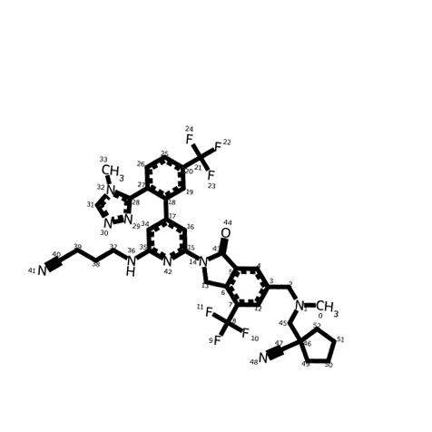 CN(Cc1cc2c(c(C(F)(F)F)c1)CN(c1cc(-c3cc(C(F)(F)F)ccc3-c3nncn3C)cc(NCCCC#N)n1)C2=O)CC1(C#N)CCCC1